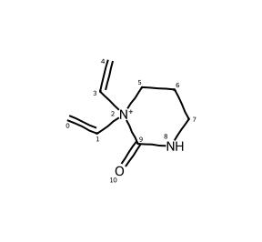 C=C[N+]1(C=C)CCCNC1=O